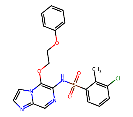 Cc1c(Cl)cccc1S(=O)(=O)Nc1ncc2nccn2c1OCCOc1ccccc1